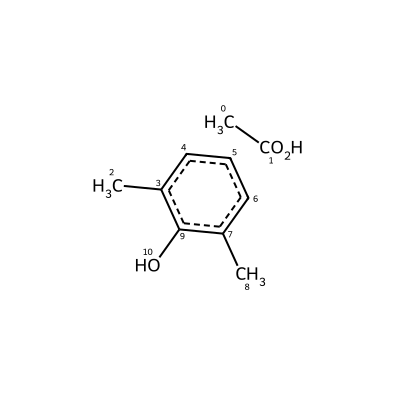 CC(=O)O.Cc1cccc(C)c1O